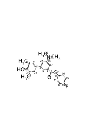 Cc1cc(-c2cc(C(=O)Sc3ccc(F)cc3)cc(N(C)C)c2)cc(C)c1O